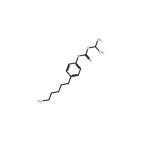 CCCCCCc1ccc(OC(=O)OC(C)C)cc1